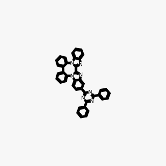 c1ccc(-c2nc(-c3ccccc3)nc(-c3ccc4c(c3)nc3c5nc6ccccc6n5c5ccccc5c5ccccc5n43)n2)cc1